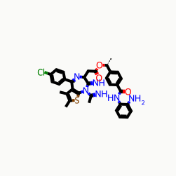 CC(=N)N1C(=N)C(CC(=O)O[C@H](C)c2ccc(C(=O)Nc3ccccc3N)cc2)N=C(c2ccc(Cl)cc2)c2c1sc(C)c2C